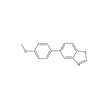 COc1ccc(-c2ccc3s[c]nc3c2)cc1